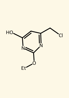 CCOc1nc(O)cc(CCl)n1